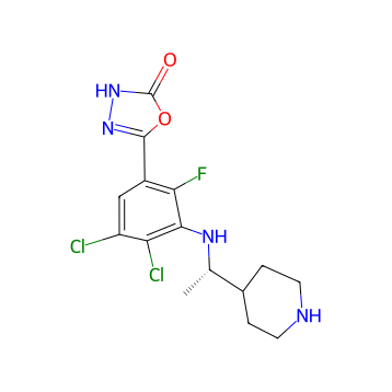 C[C@H](Nc1c(F)c(-c2n[nH]c(=O)o2)cc(Cl)c1Cl)C1CCNCC1